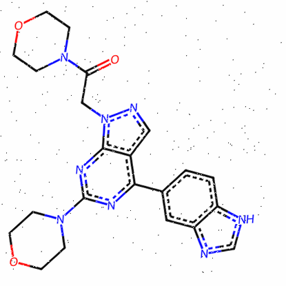 O=C(Cn1ncc2c(-c3ccc4[nH]cnc4c3)nc(N3CCOCC3)nc21)N1CCOCC1